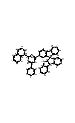 c1ccc(-c2nc(-c3ccc4c(c3)C3(c5ccccc5-4)c4ccccc4-c4c3sc3ccccc43)nc(-c3cccc4ccccc34)n2)cc1